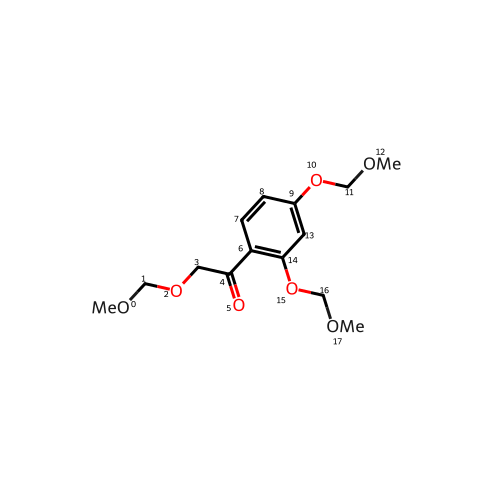 COCOCC(=O)c1ccc(OCOC)cc1OCOC